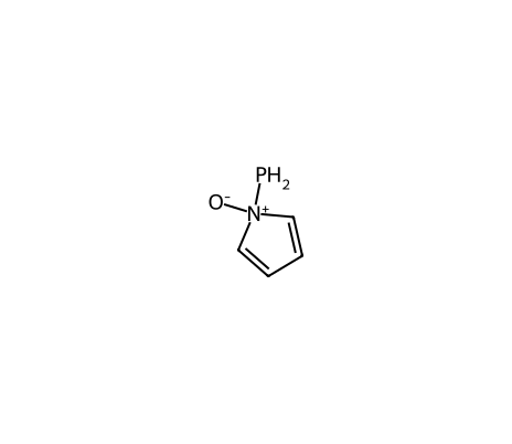 [O-][N+]1(P)C=CC=C1